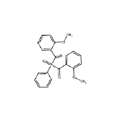 COc1ccccc1C(=O)P(=O)(C(=O)c1ccccc1OC)c1ccccc1